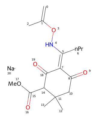 C=C(C)ONC(CCC)=C1C(=O)CC(C)(C)C(C(=O)OC)C1=O.[Na]